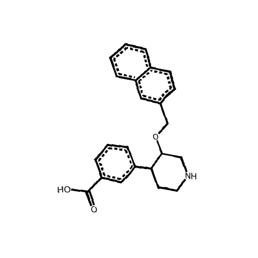 O=C(O)c1cccc(C2CCNCC2OCc2ccc3ccccc3c2)c1